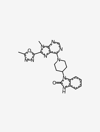 Cc1nnc(-c2nc3c(N4CCC(n5c(=O)[nH]c6ccccc65)CC4)ncnc3n2C)o1